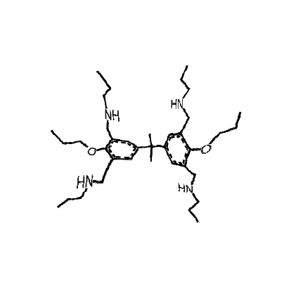 CCCNCc1cc(C(C)(C)c2cc(CNCCC)c(OCCC)c(CNCCC)c2)cc(CNCCC)c1OCCC